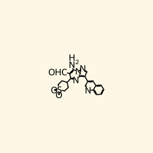 Nc1c(C=O)c(C2CCS(=O)(=O)CC2)nc2c(-c3cnc4ccccc4c3)cnn12